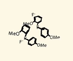 COc1ccc([I+]c2ccccc2OC)cc1.COc1ccc([I+]c2ccccc2OC)cc1.[F-].[F-]